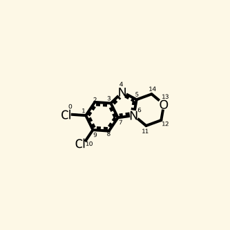 Clc1cc2nc3n(c2cc1Cl)CCOC3